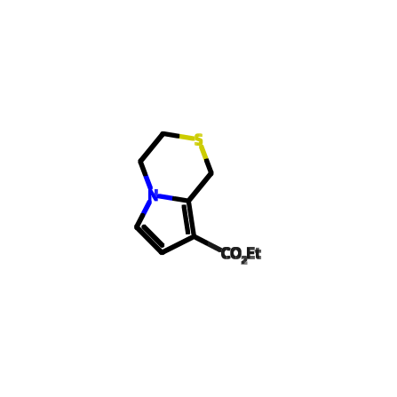 CCOC(=O)c1ccn2c1CSCC2